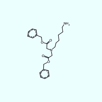 NCCCCCCN(CC(=O)OCc1ccccc1)CC(=O)OCc1ccccc1